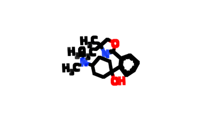 CN(C)C1CCC(O)(c2ccccc2C2=NC(C)(C)CO2)CC1